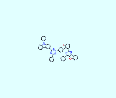 c1ccc(-c2nc(-c3ccc4c(c3)oc3cccc(-c5nc(-c6ccccc6)c6oc7ccccc7c6n5)c34)nc(-c3ccc4c(c3)c3ccccc3n4-c3ccccc3)n2)cc1